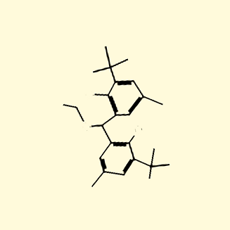 CCOC(c1cc(C)cc(C(C)(C)C)c1[O])c1cc(C)cc(C(C)(C)C)c1[O]